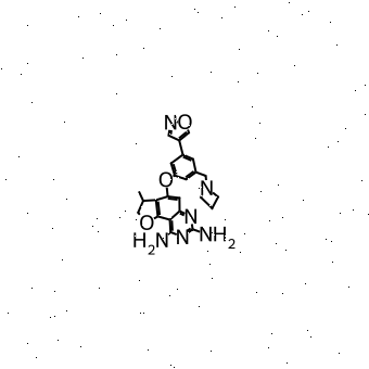 CC1COc2c1c(Oc1cc(CN3CCC3)cc(-c3cnoc3)c1)cc1nc(N)nc(N)c21